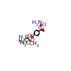 CC1(C)OB(c2ccc(C3(OC(N)=O)CC3)cc2)OC1(C)C